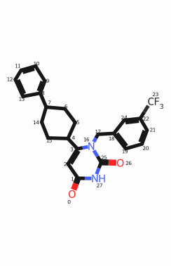 O=c1cc(C2CCC(c3ccccc3)CC2)n(Cc2cccc(C(F)(F)F)c2)c(=O)[nH]1